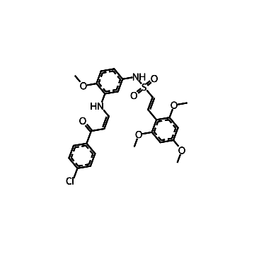 COc1cc(OC)c(/C=C/S(=O)(=O)Nc2ccc(OC)c(N/C=C\C(=O)c3ccc(Cl)cc3)c2)c(OC)c1